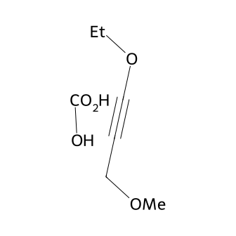 CCOC#CCOC.O=C(O)O